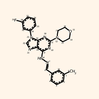 Cc1cccc(C=NNc2nc(N3CCOCC3)nc3c2ncn3-c2cccc(F)c2)c1